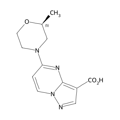 C[C@H]1CN(c2ccn3ncc(C(=O)O)c3n2)CCO1